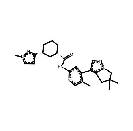 Cc1cnc(NC(=O)[C@H]2CCC[C@@H](c3ccn(C)n3)C2)cc1-c1cnn2c1CC(C)(C)C2